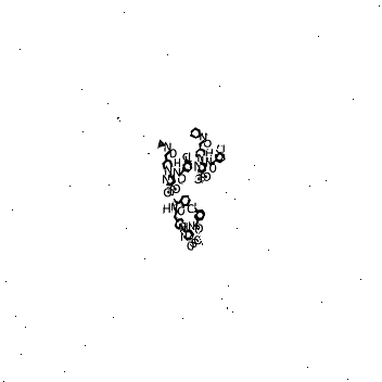 CN(C(=O)CC1CCN(c2ncc(S(C)(=O)=O)cc2NC(=O)c2cccc(Cl)c2)CC1)C1CC1.CN(C(=O)CC1CCN(c2ncc(S(C)(=O)=O)cc2NC(=O)c2cccc(Cl)c2)CC1)C1CCCCC1.C[C@H](NC(=O)CC1CCN(c2ncc(S(C)(=O)=O)cc2NC(=O)c2cccc(Cl)c2)CC1)C1CCCCC1